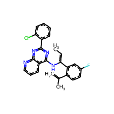 C=C(C)c1ccc(F)cc1/C(=C/C)Nc1nc(-c2ccccc2Cl)nc2ncccc12